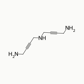 NCC#CCNCC#CCN